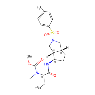 CN(C(=O)OC(C)(C)C)[C@@H](CC(C)(C)C)C(=O)N[C@@H]1CC[C@H]2CN(S(=O)(=O)c3ccc(C(F)(F)F)cc3)C[C@H]21